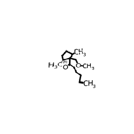 CCCCCC(=O)C1(COC)C(C)CC[C@H]1C